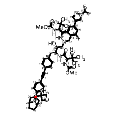 COC(=O)NC(C(=O)N[C@@H](Cc1ccc(C#Cc2ccc(N3CC4CCC(C3)N4CC3(C)COC3)nc2)cc1)[C@@H](O)CN(Cc1c(F)cc(-c2cnn(C(F)F)c2)cc1F)NC(=O)[C@@H](NC(=O)OC)C(C)(C)C(F)(F)F)C(C)(C)C(F)(F)F